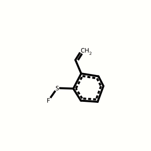 C=Cc1ccccc1SF